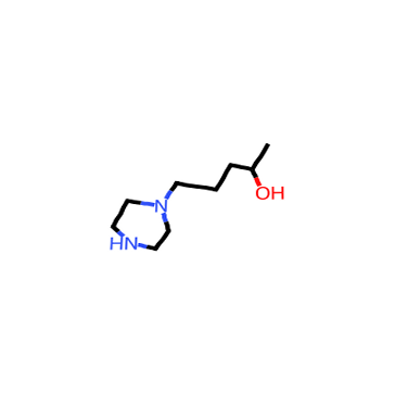 CC(O)CCCN1CCNCC1